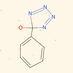 [O]C1(c2ccccc2)N=NN=N1